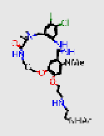 CNc1cc(OCCCNCCNC(C)=O)c2cc1C(=N)Nc1cc(Cl)c(F)cc1CN(C)[C@H](C)C(=O)NCCCO2